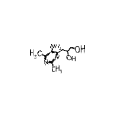 Cc1nc(C)c(N)c(CC(O)CO)n1